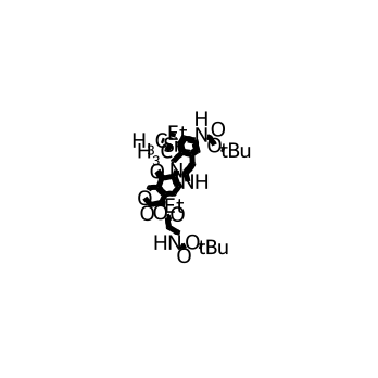 CCC1(OC(=O)CCNC(=O)OC(C)(C)C)C(=O)OCC2=C1CC1=C(C2=O)N2Cc3c(cc(NC(=O)OC(C)(C)C)cc3[Si](C)(C)CC)C=C2N1